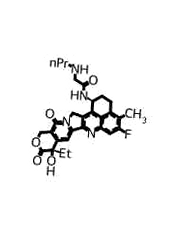 CCCNCC(=O)N[C@H]1CCc2c(C)c(F)cc3nc4c(c1c23)Cn1c-4cc2c(c1=O)COC(=O)[C@]2(O)CC